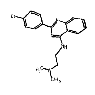 CCc1ccc(-c2cc(NCCN(C)C)c3ccccc3n2)cc1